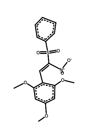 COc1cc(OC)c(/C=C(\[N+](=O)[O-])S(=O)(=O)c2ccccc2)c(OC)c1